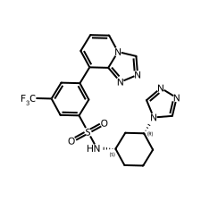 O=S(=O)(N[C@H]1CCC[C@@H](n2cnnc2)C1)c1cc(-c2cccn3cnnc23)cc(C(F)(F)F)c1